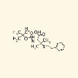 CC(C)(C)OC(=O)N[C@H](C(=O)O)C(C)(C)SCCc1ccccc1